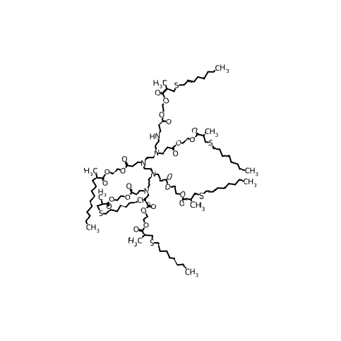 CCCCCCCCCCC(C)C(=O)OCCOC(=O)CCN(CCN(CCNCCC(=O)OCCOC(=O)C(C)CSCCCCCCCC)CCC(=O)OCCOC(=O)C(C)CSCCCCCCCC)CCN(CCC(=O)OCCOC(=O)C(C)CSCCCCCCCC)CCN(CCC(=O)OCCOC(=O)C(C)CSCCCCCCCC)CCC(=O)OCCOC(=O)C(C)CSCCCCCCCC